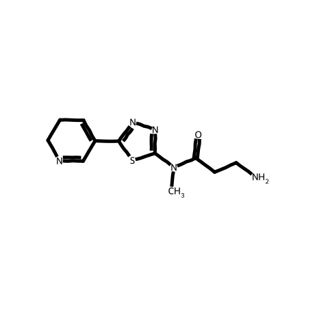 CN(C(=O)CCN)c1nnc(C2=CCCN=C2)s1